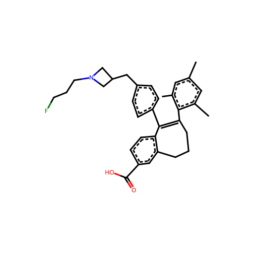 Cc1cc(C)c(C2=C(c3ccc(CC4CN(CCCF)C4)cc3)c3ccc(C(=O)O)cc3CCC2)c(C)c1